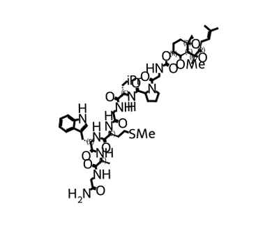 COC1[C@H](OC(=O)NCC(=O)N2CCCC2C(=O)N[C@@H](CC(C)C)C(=O)NCC(=O)N[C@@H](CCSC)C(=O)N[C@@H](Cc2c[nH]c3ccccc23)C(=O)N[C@@H](C)C(=O)NCC(N)=O)CC[C@]2(CO2)[C@H]1[C@@]1(C)O[C@@H]1CC=C(C)C